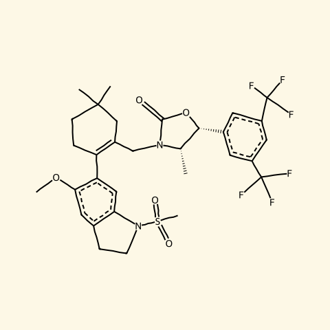 COc1cc2c(cc1C1=C(CN3C(=O)O[C@H](c4cc(C(F)(F)F)cc(C(F)(F)F)c4)[C@@H]3C)CC(C)(C)CC1)N(S(C)(=O)=O)CC2